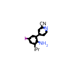 CC(C)c1cc(I)cc(-c2ccnc(C#N)c2)c1N